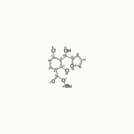 CC(C)(C)OC(=O)c1ccc(Cl)c(C(O)c2ccco2)c1Cl